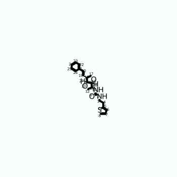 O=C(NCCc1cccs1)N[C@H]1CO[C@H]2[C@@H]1OC[C@@H]2C=Cc1ccccc1